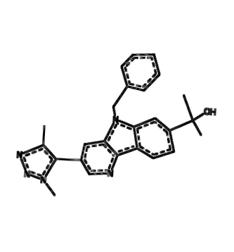 Cc1nnn(C)c1-c1cnc2c3ccc(C(C)(C)O)cc3n(Cc3ccccc3)c2c1